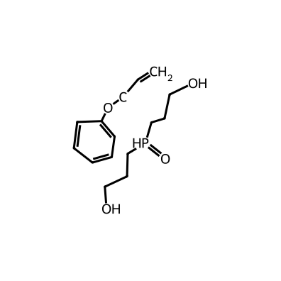 C=CCOc1ccccc1.O=[PH](CCCO)CCCO